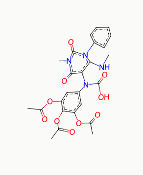 CNc1c(N(C(=O)O)c2cc(OC(C)=O)c(OC(C)=O)c(OC(C)=O)c2)c(=O)n(C)c(=O)n1-c1ccccc1